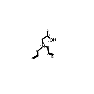 [CH2]C(O)CN(CC=C)CC=C